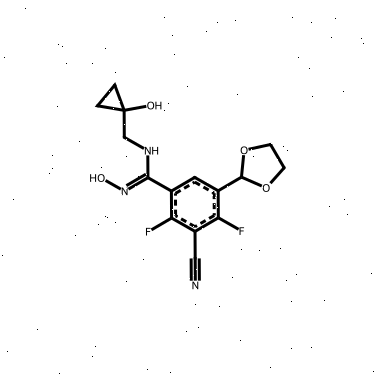 N#Cc1c(F)c(C(=NO)NCC2(O)CC2)cc(C2OCCO2)c1F